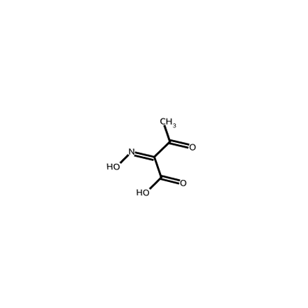 CC(=O)C(=NO)C(=O)O